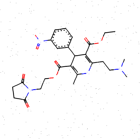 CCOC(=O)C1=C(CCN(C)C)NC(C)=C(C(=O)OCCN2C(=O)CCC2=O)C1c1cccc([N+](=O)[O-])c1